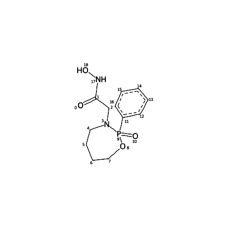 O=C(CN1CCCCOP1(=O)c1ccccc1)NO